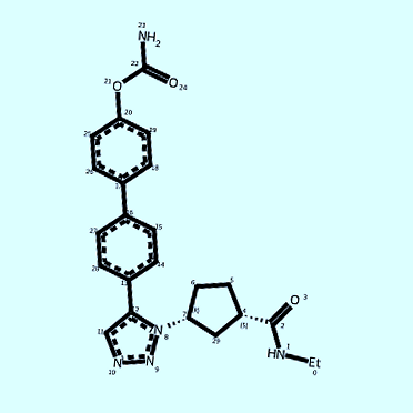 CCNC(=O)[C@H]1CC[C@@H](n2nncc2-c2ccc(-c3ccc(OC(N)=O)cc3)cc2)C1